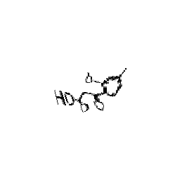 COc1cc(C)ccc1C(=O)CC(=O)O